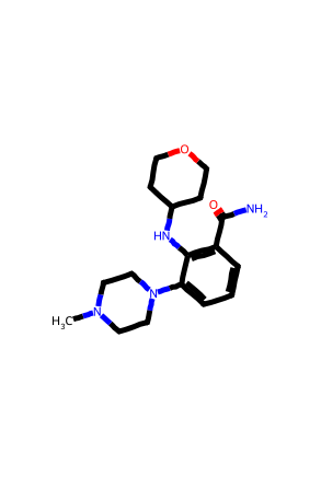 CN1CCN(c2cccc(C(N)=O)c2NC2CCOCC2)CC1